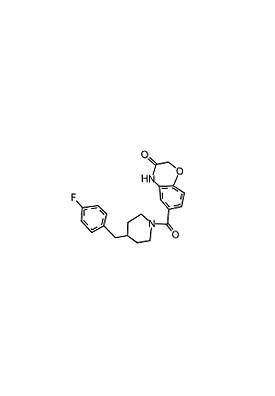 O=C1COc2ccc(C(=O)N3CCC(Cc4ccc(F)cc4)CC3)cc2N1